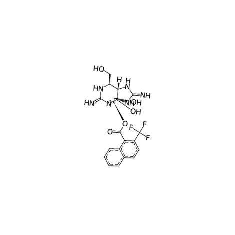 N=C1N[C@H]2[C@H](CO)NC(=N)N3C[C@H](OC(=O)c4c(C(F)(F)F)ccc5ccccc45)C(O)(O)[C@]23N1